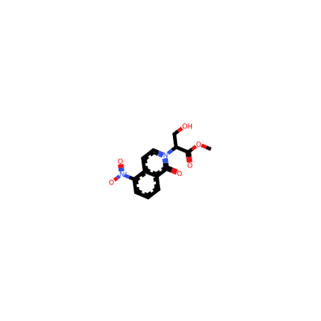 COC(=O)C(CO)n1ccc2c([N+](=O)[O-])cccc2c1=O